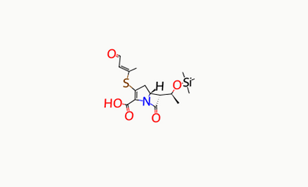 C/C(=C\C=O)SC1=C(C(=O)O)N2C(=O)[C@@H]([C@H](C)O[Si](C)(C)C)[C@H]2C1